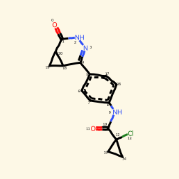 O=C1NN=C(c2ccc(NC(=O)C3(Cl)CC3)cc2)C2CC12